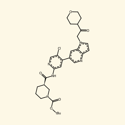 CC(C)(C)OC(=O)N1CCC[C@@H](C(=O)Nc2cc(-c3cnc4ccn(CC(=O)C5CCOCC5)c4c3)c(Cl)cn2)C1